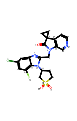 O=C1N(Cc2nc3cc(Cl)cc(F)c3n2C2CCS(=O)(=O)C2)c2cnccc2C12CC2